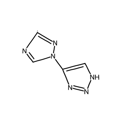 [c]1ncn(-c2c[nH]nn2)n1